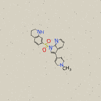 CN1CC=C(c2cn(S(=O)(=O)c3ccc4c(c3)NCCC4)c3ncccc23)CC1